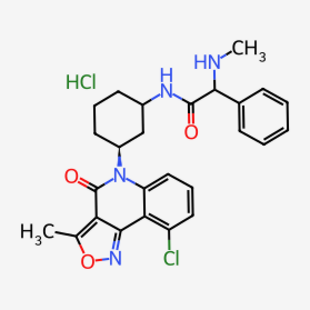 CNC(C(=O)NC1CCC[C@H](n2c(=O)c3c(C)onc3c3c(Cl)cccc32)C1)c1ccccc1.Cl